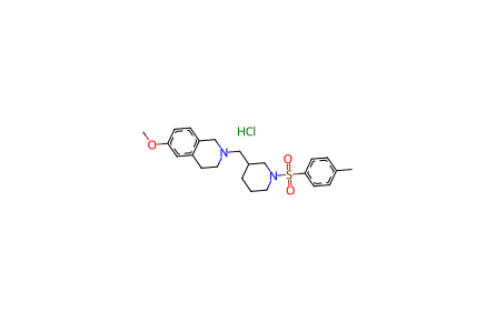 COc1ccc2c(c1)CCN(CC1CCCN(S(=O)(=O)c3ccc(C)cc3)C1)C2.Cl